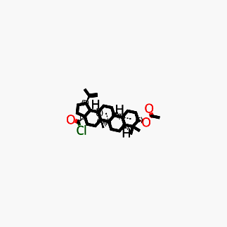 C=C(C)[C@@H]1CC[C@]2(C(=O)Cl)CC[C@]3(C)[C@H](CC[C@@H]4[C@@]5(C)CC[C@H](OC(C)=O)C(C)(C)[C@@H]5CC[C@]43C)C12